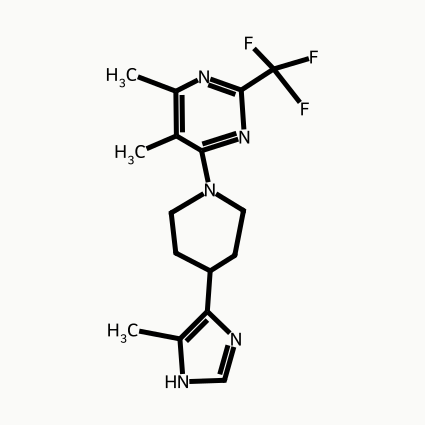 Cc1nc(C(F)(F)F)nc(N2CCC(c3nc[nH]c3C)CC2)c1C